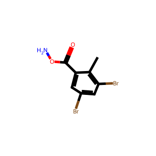 Cc1c(Br)cc(Br)cc1C(=O)ON